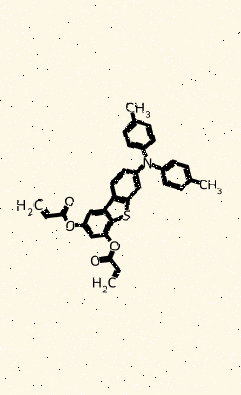 C=CC(=O)Oc1cc(OC(=O)C=C)c2sc3cc(N(c4ccc(C)cc4)c4ccc(C)cc4)ccc3c2c1